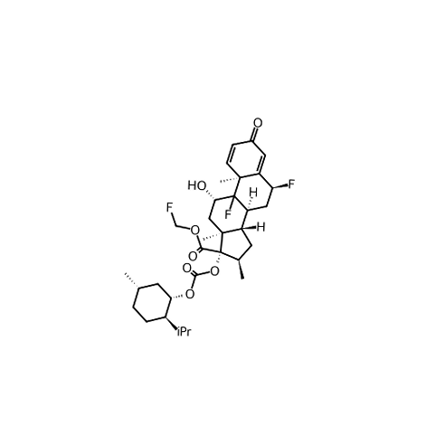 CC(C)[C@H]1CC[C@H](C)C[C@@H]1OC(=O)O[C@@]1(C(=O)OCF)[C@H](C)C[C@H]2[C@@H]3C[C@H](F)C4=CC(=O)C=C[C@]4(C)C3(F)[C@@H](O)C[C@@]21C